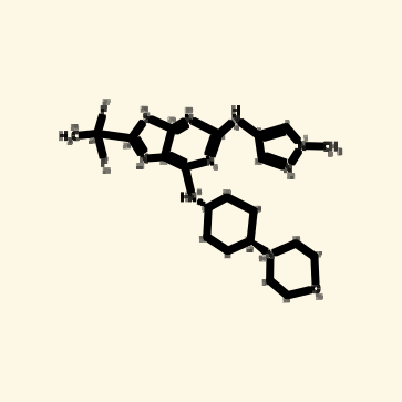 Cn1cc(Nc2nc(N[C@H]3CC[C@H](N4CCOCC4)CC3)c3nc(C(C)(F)F)sc3n2)cn1